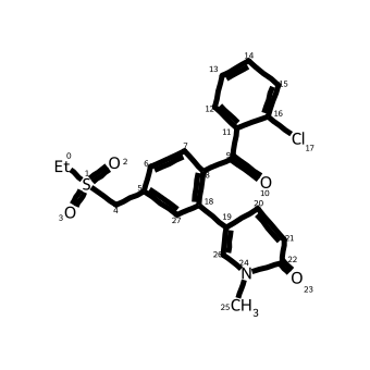 CCS(=O)(=O)Cc1ccc(C(=O)c2ccccc2Cl)c(-c2ccc(=O)n(C)c2)c1